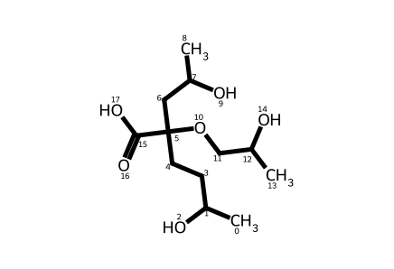 CC(O)CCC(CC(C)O)(OCC(C)O)C(=O)O